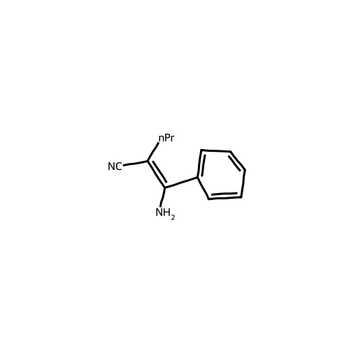 CCC/C(C#N)=C(/N)c1ccccc1